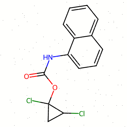 O=C(Nc1cccc2ccccc12)OC1(Cl)CC1Cl